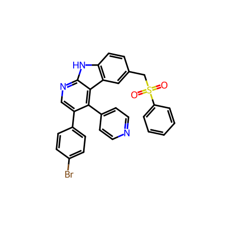 O=S(=O)(Cc1ccc2[nH]c3ncc(-c4ccc(Br)cc4)c(-c4ccncc4)c3c2c1)c1ccccc1